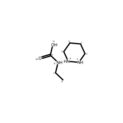 C1CCNNC1.CCNC(=O)O